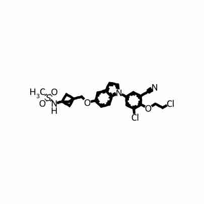 CS(=O)(=O)NC12CC(COc3ccc4c(ccn4-c4cc(Cl)c(OCCCl)c(C#N)c4)c3)(C1)C2